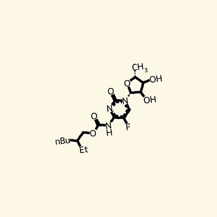 CCCCC(CC)COC(=O)Nc1nc(=O)n([C@@H]2O[C@H](C)C(O)C2O)cc1F